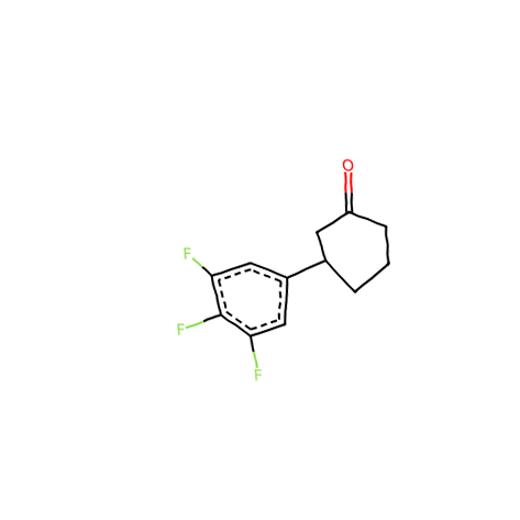 O=C1CCCC(c2cc(F)c(F)c(F)c2)C1